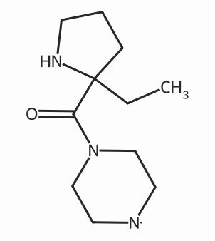 CCC1(C(=O)N2CC[N]CC2)CCCN1